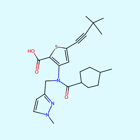 CC1CCC(C(=O)N(Cc2ccn(C)n2)c2cc(C#CC(C)(C)C)sc2C(=O)O)CC1